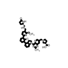 COc1nc(-c2cccc(-c3cccc4c3CCN4c3nc(C)nc4cc(CN5CC[C@@H](C(=O)O)C5)cnc34)c2Cl)ccc1CNC[C@@H]1CCC(=O)N1